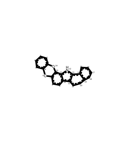 c1ccc2c(c1)Oc1ccc3c([nH]c4c5ccccc5ccc34)c1O2